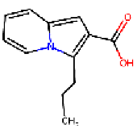 CCCc1c(C(=O)O)cc2ccccn12